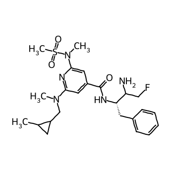 CC1CC1CN(C)c1cc(C(=O)N[C@@H](Cc2ccccc2)C(N)CF)cc(N(C)S(C)(=O)=O)n1